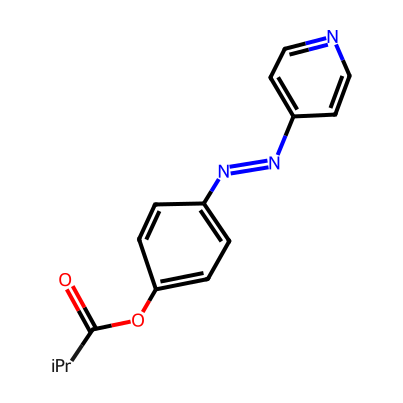 CC(C)C(=O)Oc1ccc(/N=N/c2ccncc2)cc1